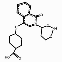 O=C(O)C1CCC(Oc2cn(C3CCONO3)c(=O)c3ccccc23)CC1